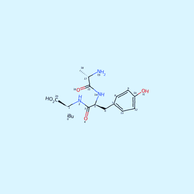 CC[C@H](C)[C@H](NC(=O)[C@H](Cc1ccc(O)cc1)NC(=O)[C@H](C)N)C(=O)O